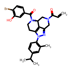 C=CC(=O)N1Cc2nn(-c3ccc(C(C)C)cc3C)c3c2[C@H](C1)N(C(=O)c1ccc(Br)c(O)c1)CC3